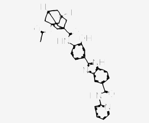 CC(=O)O[C@@]12C[C@@H]3C[C@@H](CC(C(=O)Nc4ccc(-c5nc6cc(C(=O)Nc7ccccn7)ccc6[nH]5)cc4O)(C3)C1)C2